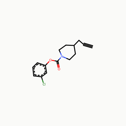 C#CCC1CCN(C(=O)Oc2cccc(Cl)c2)CC1